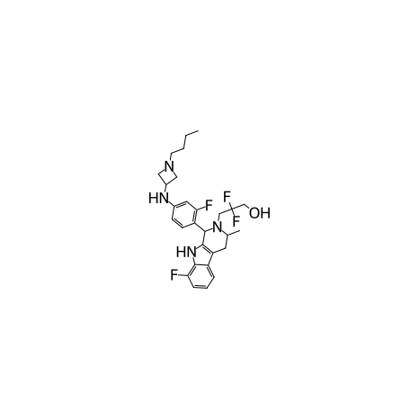 CCCCN1CC(Nc2ccc(C3c4[nH]c5c(F)cccc5c4CC(C)N3CC(F)(F)CO)c(F)c2)C1